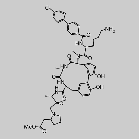 COC(=O)C[C@@H]1CCCN1CC(=O)[C@H](C)NC(=O)[C@@H]1Cc2ccc(O)c(c2)-c2cc(ccc2O)[C@H](N(C)C(=O)[C@H](CCCCN)NC(=O)c2ccc(-c3ccc(Cl)cc3)cc2)C(=O)N[C@@H](C)C(=O)N1